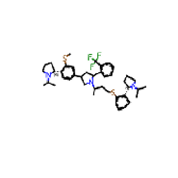 CSc1cc(C2CC(c3ccccc3C(F)(F)F)N(C(C)CCSc3ccccc3[C@@H]3CCCN3C(C)C)C2)ccc1[C@H]1CCCN1C(C)C